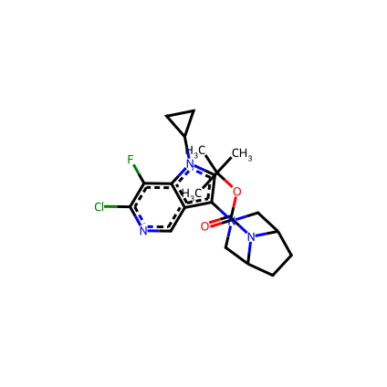 CC(C)(C)OC(=O)N1C2CCC1CN(c1cn(C3CC3)c3c(F)c(Cl)ncc13)C2